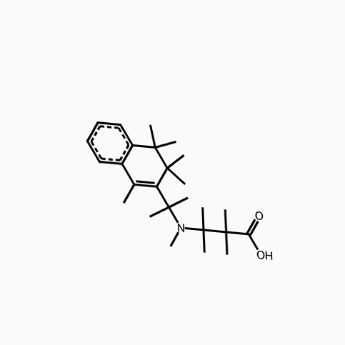 CC1=C(C(C)(C)N(C)C(C)(C)C(C)(C)C(=O)O)C(C)(C)C(C)(C)c2ccccc21